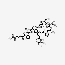 CC(NC(=O)[C@@H](NC(=O)C(CO)NC(=O)CNC(=O)[C@@H]1CCCN1C(=O)[C@H](C)NC(=O)[C@@H]1CCCN1C(=O)[C@@H](N)CCCNC(=N)N)C(C)O)C(=O)N1CCC[C@H]1C(=O)NCCCCC(=O)N[C@@H](C)C(N)=O